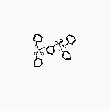 O=P(OC1=CCCC=C1)(Oc1ccccc1)Oc1cccc(OP(=O)(Oc2ccccc2)Oc2ccccc2)c1